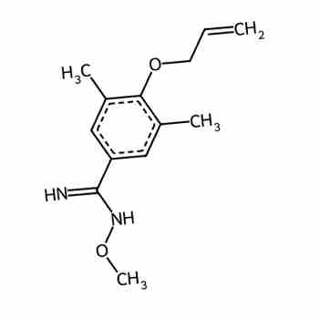 C=CCOc1c(C)cc(C(=N)NOC)cc1C